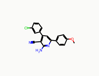 COc1ccc(-c2cc(-c3cccc(Cl)c3)c(C#N)c(N)n2)cc1